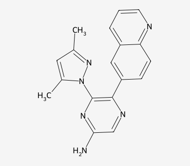 Cc1cc(C)n(-c2nc(N)cnc2-c2ccc3ncccc3c2)n1